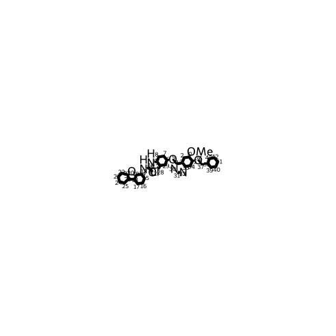 COc1cc2c(Oc3ccc(NC(=O)Nc4cccc5c4oc4ccccc45)c(Cl)c3)ncnc2cc1OCc1ccccc1